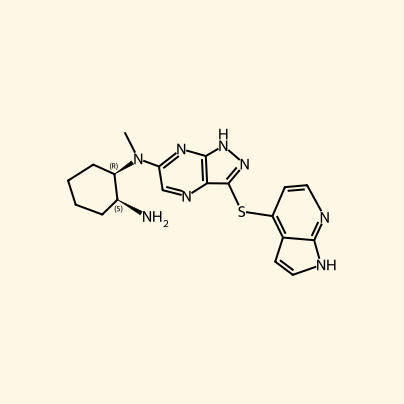 CN(c1cnc2c(Sc3ccnc4[nH]ccc34)n[nH]c2n1)[C@@H]1CCCC[C@@H]1N